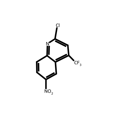 O=[N+]([O-])c1ccc2nc(Cl)cc(C(F)(F)F)c2c1